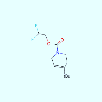 CC(C)(C)C1=CCN(C(=O)OCC(F)F)CC1